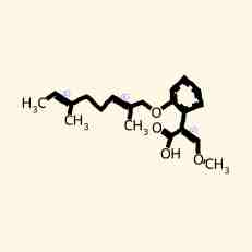 C/C=C(\C)CC/C=C(\C)COc1ccccc1/C(=C/OC)C(=O)O